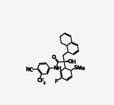 CSC1C=CC(F)=CC1[C@@](O)(CC1C=CC=C2C=CCCC21)C(=O)Nc1ccc(C#N)c(C(F)(F)F)c1